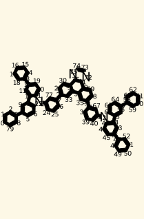 c1ccc(-c2ccc3c(c2)c2cc(-c4ccccc4)ccc2n3-c2cccc(-c3ccc4c(c3)c3cc(-c5cccc(-n6c7ccc(-c8ccccc8)cc7c7cc(-c8ccccc8)ccc76)c5)ccc3c3nccnc43)c2)cc1